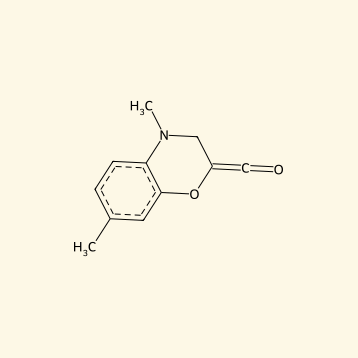 Cc1ccc2c(c1)OC(=C=O)CN2C